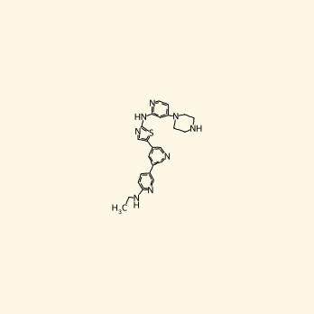 CCNc1ccc(-c2cncc(-c3cnc(Nc4cc(N5CCNCC5)ccn4)s3)c2)cn1